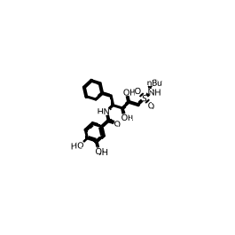 CCCCNS(=O)(=O)CC(O)C(O)C(CC1CCCCC1)NC(=O)c1ccc(O)c(O)c1